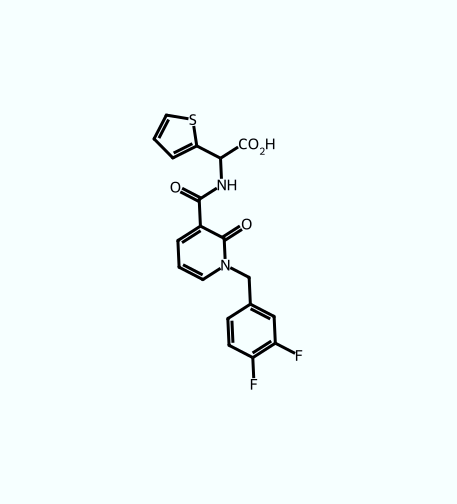 O=C(NC(C(=O)O)c1cccs1)c1cccn(Cc2ccc(F)c(F)c2)c1=O